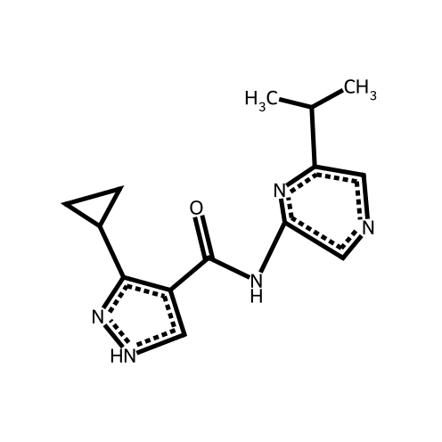 CC(C)c1cncc(NC(=O)c2c[nH]nc2C2CC2)n1